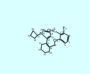 O=Cc1c(F)cccc1OCC1=C(c2ccnn2C2CCC2)CCCC1